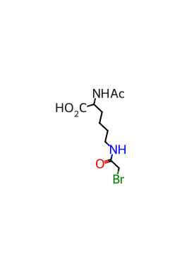 CC(=O)NC(CCCCNC(=O)CBr)C(=O)O